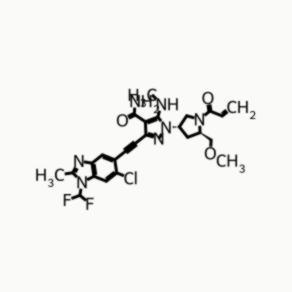 C=CC(=O)N1C[C@@H](n2nc(C#Cc3cc4nc(C)n(C(F)F)c4cc3Cl)c(C(N)=O)c2NC)C[C@@H]1COC